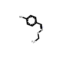 N#Cc1ccc(/[C]=N\OCC(F)(F)F)cc1